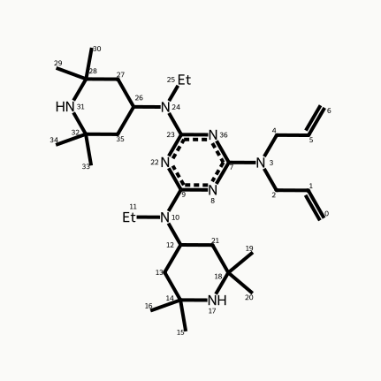 C=CCN(CC=C)c1nc(N(CC)C2CC(C)(C)NC(C)(C)C2)nc(N(CC)C2CC(C)(C)NC(C)(C)C2)n1